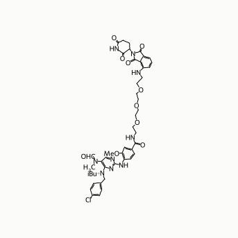 CC[C@@H](C)N(Cc1ccc(Cl)cc1)c1nc(Nc2ccc(C(=O)NCCOCCOCCOCCNc3cccc4c3C(=O)N(C3CCC(=O)NC3=O)C4=O)cc2OC)ncc1N(C)C=O